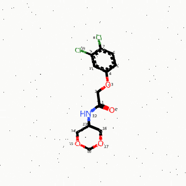 O=C(COc1ccc(Cl)c(Cl)c1)NC1COCOC1